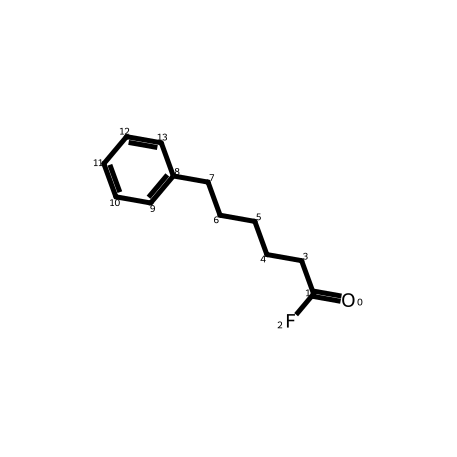 O=C(F)CCCCCc1ccccc1